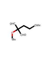 COCCC(C=O)(C=O)OC(C)(C)C